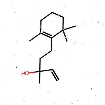 C=CC(C)(O)CCC1=C(C)CCCC1(C)C